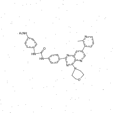 CC(=O)Nc1ccc(NC(=O)Nc2ccc(-c3nc(N4CCOCC4)c4ncc(-c5cccnc5C)cc4n3)cc2)cc1